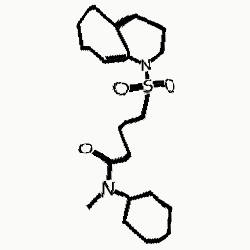 CN(C(=O)CCCS(=O)(=O)N1CCCC2CCCC=C21)C1CCCCC1